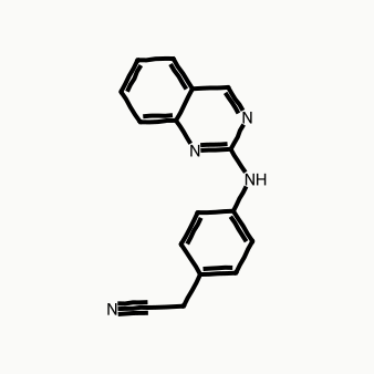 N#CCc1ccc(Nc2ncc3ccccc3n2)cc1